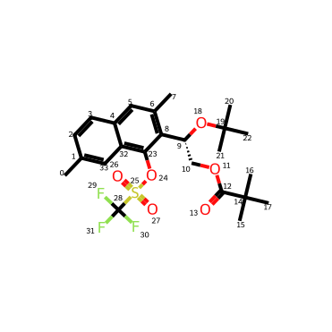 Cc1ccc2cc(C)c([C@@H](COC(=O)C(C)(C)C)OC(C)(C)C)c(OS(=O)(=O)C(F)(F)F)c2c1